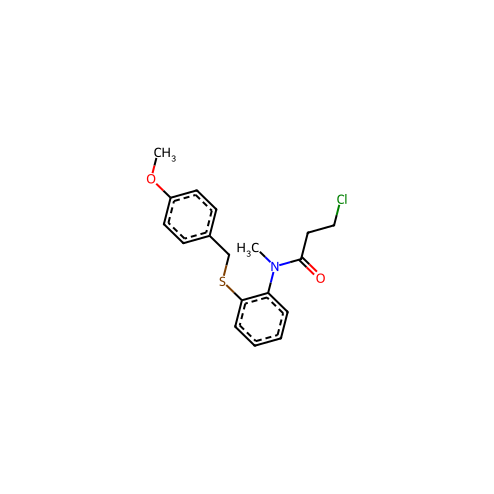 COc1ccc(CSc2ccccc2N(C)C(=O)CCCl)cc1